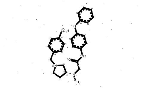 CN(CC(=O)Nc1ccc(Oc2ccccc2)cc1)[C@@H]1CCN(Cc2ccc(C(=O)O)cc2)C1